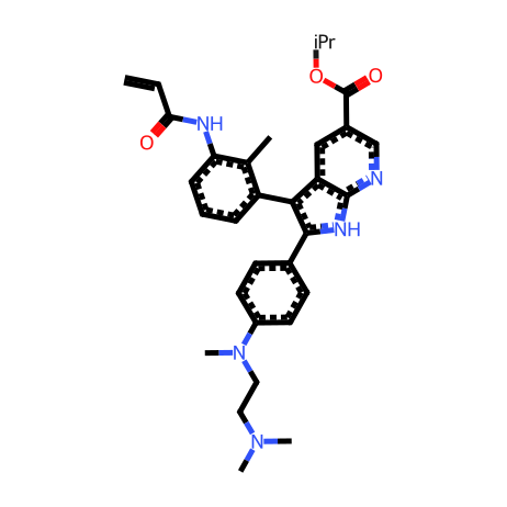 C=CC(=O)Nc1cccc(-c2c(-c3ccc(N(C)CCN(C)C)cc3)[nH]c3ncc(C(=O)OC(C)C)cc23)c1C